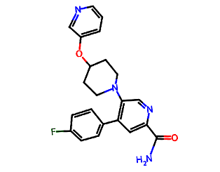 NC(=O)c1cc(-c2ccc(F)cc2)c(N2CCC(Oc3cccnc3)CC2)cn1